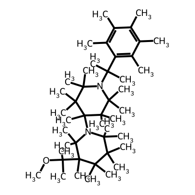 COC(C)(C)C1(C)C(C)(C)N(C2(C)C(C)(C)C(C)(C)N(C(C)(C)c3c(C)c(C)c(C)c(C)c3C)C(C)(C)C2(C)C)C(C)(C)C(C)(C)C1(C)C